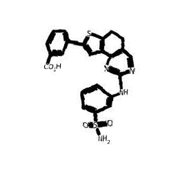 NS(=O)(=O)c1cccc(Nc2ncc3c(n2)-c2cc(-c4cccc(C(=O)O)c4)sc2CC3)c1